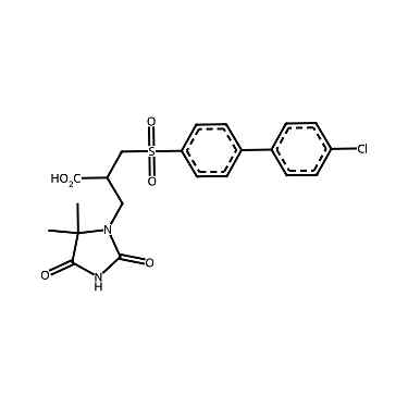 CC1(C)C(=O)NC(=O)N1CC(CS(=O)(=O)c1ccc(-c2ccc(Cl)cc2)cc1)C(=O)O